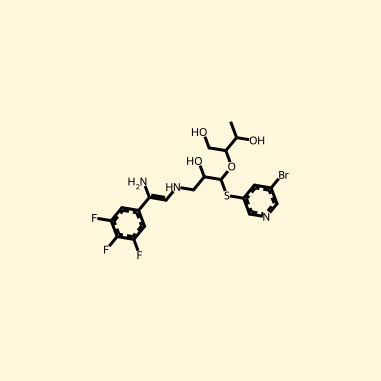 CC(O)C(CO)OC(Sc1cncc(Br)c1)C(O)CN/C=C(\N)c1cc(F)c(F)c(F)c1